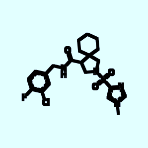 Cn1cnc(S(=O)(=O)N2CC(C(=O)NCc3ccc(F)c(Cl)c3)C3(CCCCC3)C2)c1